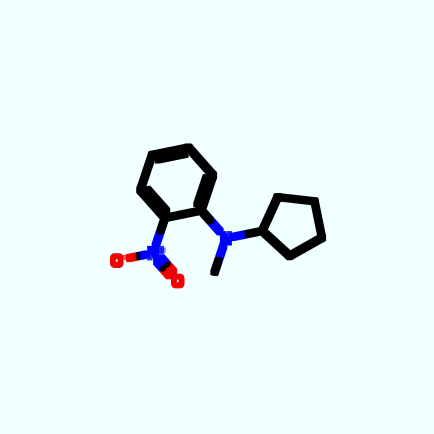 CN(c1ccccc1[N+](=O)[O-])C1CCCC1